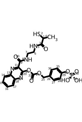 CC(S)C(=O)NCCNC(=O)c1nc2ccccc2nc1OC(=O)OCc1ccc(OP(=O)(O)O)cc1